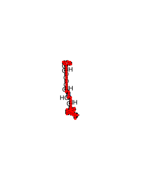 CC[N+]1=c2cc3c(cc2C(C)CC1(C)C)=C(c1ccccc1C(=O)N(C)CCCC(=O)NCCc1ccc(/N=N/c2ccc(C(=O)NCCOCCOCCOCCOCCC(=O)NCCC(=O)N4Cc5ccccc5C#Cc5ccccc54)cc2)c(O)c1)c1cc2c4c(c1C3(C)C)CCCN4CCC2